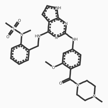 COc1cc(Nc2nc(NCc3ccccc3N(C)S(C)(=O)=O)c3cc[nH]c3n2)ccc1C(=O)N1CCN(C)CC1